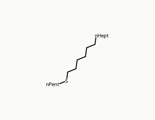 CCCCCCCCCCCCCSCCCCC